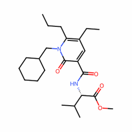 CCCc1c(CC)cc(C(=O)N[C@H](C(=O)OC)C(C)C)c(=O)n1CC1CCCCC1